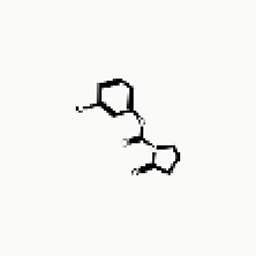 O=C1CCCN1C(=O)Oc1cccc(Cl)c1